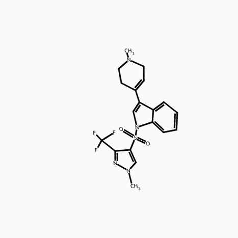 CN1CC=C(c2cn(S(=O)(=O)c3cn(C)nc3C(F)(F)F)c3ccccc23)CC1